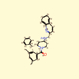 Cc1cc(C)cc(C(=O)N2CC[C@H](NCc3ccc4ccccc4n3)C[C@H]2Cc2ccccc2)c1